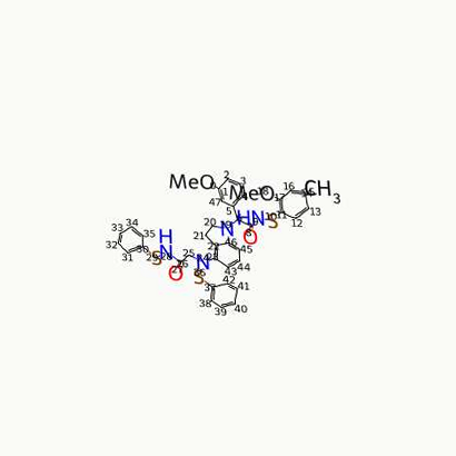 COc1cccc(C(C(=O)NSc2ccc(C)cc2OC)N2CCc3c(N(CC(=O)NSc4ccccc4)Sc4ccccc4)cccc32)c1